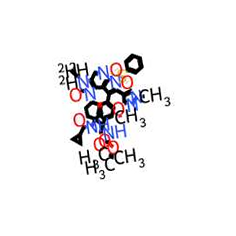 [2H]C([2H])([2H])n1c(=O)n(C2CCC(CC=O)(NC(=O)C3CC3)CC2)c2c3c(-c4ccc(CNC(=O)OC(C)(C)C)cc4)c(-c4cn(C)nc4OC)n(S(=O)(=O)c4ccccc4)c3ncc21